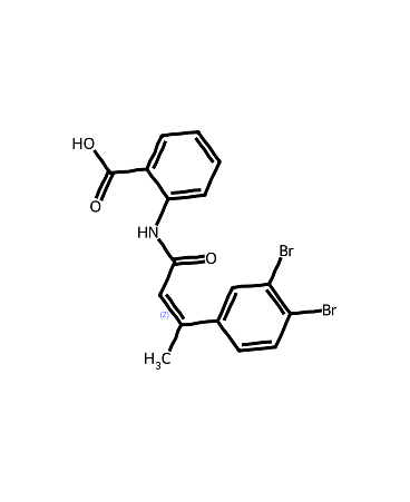 C/C(=C/C(=O)Nc1ccccc1C(=O)O)c1ccc(Br)c(Br)c1